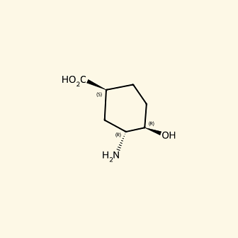 N[C@@H]1C[C@@H](C(=O)O)CC[C@H]1O